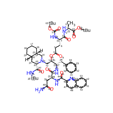 C[C@H](NC(=O)[C@H](CCC(=O)O[C@H](CN1C[C@H]2CCCC[C@H]2C[C@H]1C(=O)NC(C)(C)C)[C@H](Cc1ccccc1)NC(=O)[C@H](CC(N)=O)NC(=O)c1ccc2ccccc2n1)NC(=O)OC(C)(C)C)C(=O)OC(C)(C)C